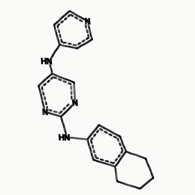 c1cc(Nc2cnc(Nc3ccc4c(c3)CCCC4)nc2)ccn1